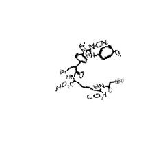 CC(C)CC(C(=O)NC(CCCCC(NC(=O)CC(C)(C)C)C(=O)O)C(=O)O)c1ccc(NC(=NC#N)Nc2ccc(Cl)cc2)cc1